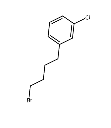 Clc1[c]c(CCCCBr)ccc1